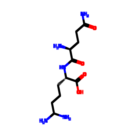 NC(=O)CC[C@H](N)C(=O)N[C@@H](CCCC(N)N)C(=O)O